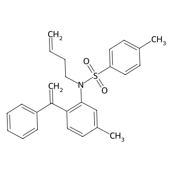 C=CCCN(c1cc(C)ccc1C(=C)c1ccccc1)S(=O)(=O)c1ccc(C)cc1